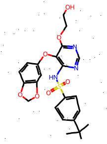 CC(C)(C)c1ccc(S(=O)(=O)Nc2ncnc(OCCO)c2Oc2ccc3c(c2)OCO3)cc1